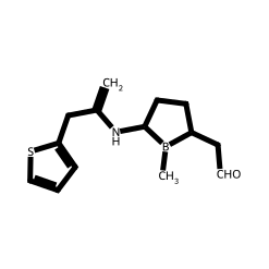 C=C(Cc1cccs1)NC1CCC(CC=O)B1C